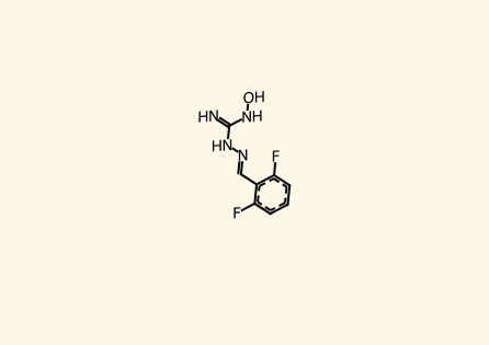 N=C(NO)NN=Cc1c(F)cccc1F